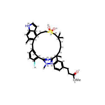 COC(=O)CCc1cccc(C2(C)CCCC(C)(C)CS(=O)(=O)CCc3c(c(C)cc4[nH]ccc34)Cc3ccc(F)c(c3)-c3nc2nn3C)c1